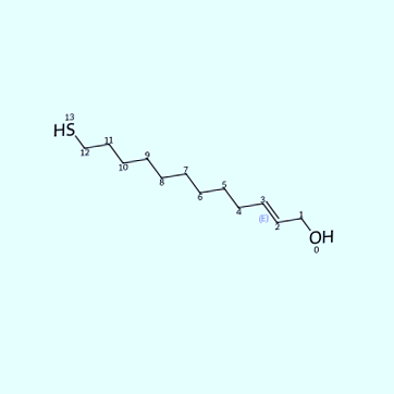 OC/C=C/CCCCCCCCCS